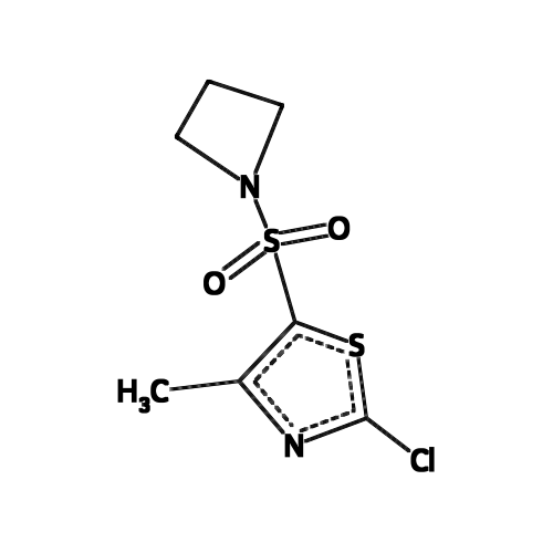 Cc1nc(Cl)sc1S(=O)(=O)N1CCC1